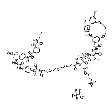 CCCNC(=O)Nc1cccc(S(=O)(=O)Nc2cccc([C@@H](CC(=O)O)NC(=O)Nc3ccc(NC(=O)NCCOCCOCCOCCC(=O)N[C@@H](CC(=O)OCCC[N+](C)(C)C)C(=O)N4CCC[C@H]4C(=O)N[C@H](C(=O)N=[S@](C)(=O)Cc4cc5cc(c4)OCCCCOc4cc(F)ccc4-c4nc(ncc4F)N5)C(C)C)cc3)c2)c1.O=C([O-])C(F)(F)F